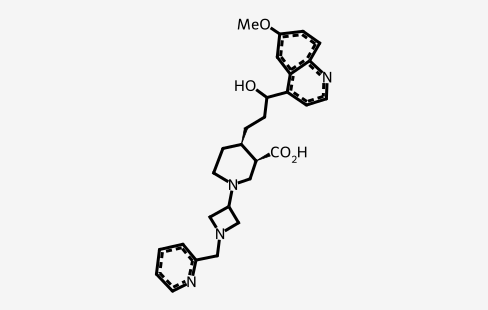 COc1ccc2nccc(C(O)CC[C@@H]3CCN(C4CN(Cc5ccccn5)C4)C[C@@H]3C(=O)O)c2c1